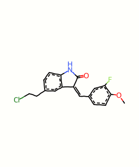 COc1ccc(C=C2C(=O)Nc3ccc(CCCl)cc32)cc1F